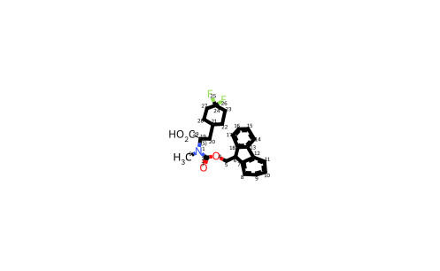 CN(C(=O)OCC1c2ccccc2-c2ccccc21)[C@@H](CC1CCC(F)(F)CC1)C(=O)O